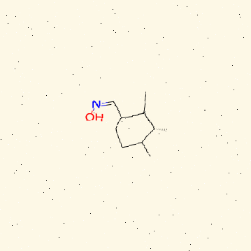 CC1CCC(/C=N\O)C(C)[C@@H]1C